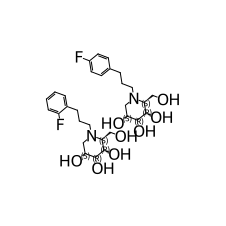 OC[C@H]1[C@@H](O)[C@H](O)[C@@H](O)CN1CCCc1ccc(F)cc1.OC[C@H]1[C@@H](O)[C@H](O)[C@@H](O)CN1CCCc1ccccc1F